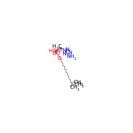 CCS(CC)(CC)CCCCCCCCCCCCCCOCCOP(=O)(O)CO[C@H](C)Cn1cnc2c(N)ncnc21